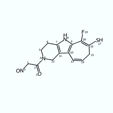 O=NCC(=O)N1CCc2[nH]c3c(c2C1)C=CCC(S)=C3F